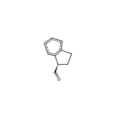 O=[C][C@@H]1CCc2ccccc21